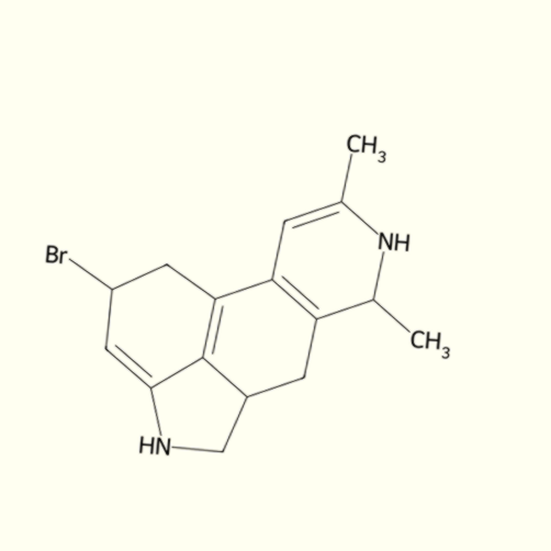 CC1=CC2=C(CC3CNC4=CC(Br)CC2=C43)C(C)N1